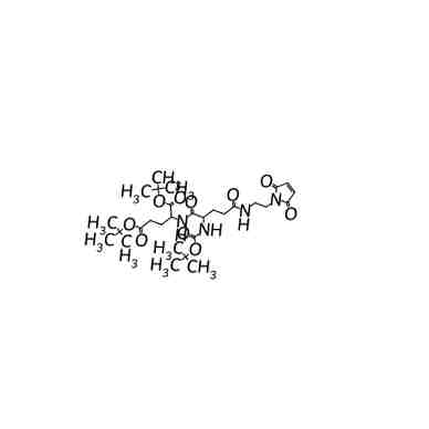 CC(C)(C)OC(=O)CCC(NC(=O)C(CCC(=O)NCCN1C(=O)C=CC1=O)NC(=O)OC(C)(C)C)C(=O)OC(C)(C)C